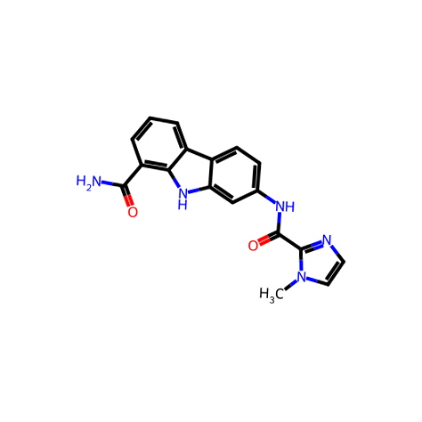 Cn1ccnc1C(=O)Nc1ccc2c(c1)[nH]c1c(C(N)=O)cccc12